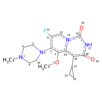 COc1c(N2CCN(C)CC2)c(F)cn2c(=O)[nH]c(=O)c(C3CC3)c12